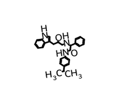 CC(C)c1ccc(NC(=O)C(NCC(=O)Cc2c[nH]c3ccccc23)c2ccccc2)cc1